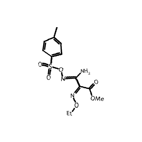 CCON=C(C(=O)OC)C(N)=NOS(=O)(=O)c1ccc(C)cc1